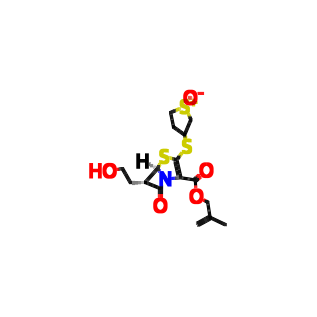 C=C(C)COC(=O)C1=C(S[C@H]2CC[S@@+]([O-])C2)S[C@@H]2[C@@H](CCO)C(=O)N12